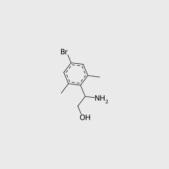 Cc1cc(Br)cc(C)c1C(N)CO